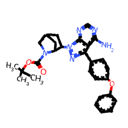 CC(C)(C)OC(=O)N1CC2CC1C(n1nc(-c3ccc(Oc4ccccc4)cc3)c3c(N)ncnc31)C2